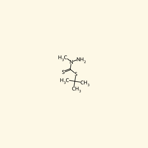 CN(N)C(=S)SC(C)(C)C